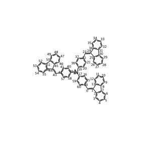 C(=C1c2ccccc2-c2ccccc21)c1ccc(N(c2ccc(C=C3c4ccccc4-c4ccccc43)cc2)c2ccc(C=C3c4ccccc4-c4ccccc43)cc2)cc1